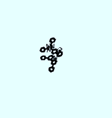 c1ccc(-c2ccc3c(c2)c2cc(-c4ccccc4)ccc2n3-c2cccc3oc4cc(-c5nc(-c6ccccc6)nc(-c6ccccc6)n5)ccc4c23)cc1